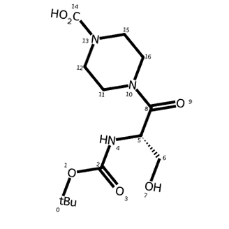 CC(C)(C)OC(=O)N[C@@H](CO)C(=O)N1CCN(C(=O)O)CC1